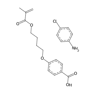 C=C(C)C(=O)OCCCCOc1ccc(C(=O)O)cc1.Nc1ccc(Cl)cc1